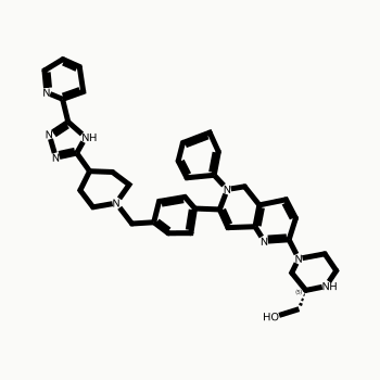 OC[C@@H]1CN(c2ccc3c(n2)C=C(c2ccc(CN4CCC(c5nnc(-c6ccccn6)[nH]5)CC4)cc2)N(c2ccccc2)C3)CCN1